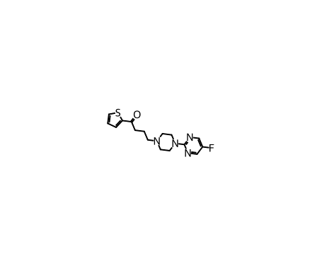 O=C(CCCN1CCN(c2ncc(F)cn2)CC1)c1cccs1